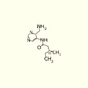 CC[C@H](C)CC(=O)Nc1cncnc1CN